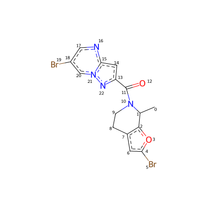 CC1c2oc(Br)cc2CCN1C(=O)c1cc2ncc(Br)cn2n1